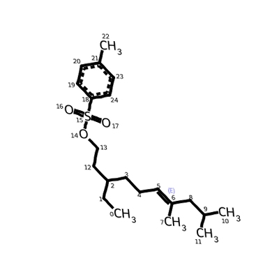 CCC(CC/C=C(\C)CC(C)C)CCOS(=O)(=O)c1ccc(C)cc1